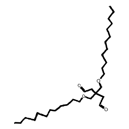 CCCCCCCCCCCCOCC(CC=O)(CC=O)COCCCCCCCCCCCC